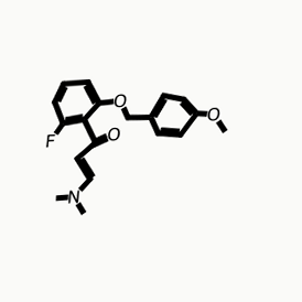 COc1ccc(COc2cccc(F)c2C(=O)/C=C/N(C)C)cc1